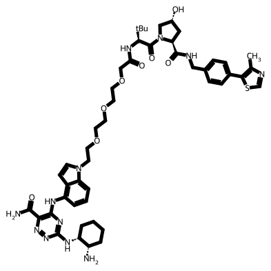 Cc1ncsc1-c1ccc(CNC(=O)[C@@H]2C[C@@H](O)CN2C(=O)[C@@H](NC(=O)COCCOCCOCCn2ccc3c(Nc4nc(N[C@@H]5CCCC[C@@H]5N)nnc4C(N)=O)cccc32)C(C)(C)C)cc1